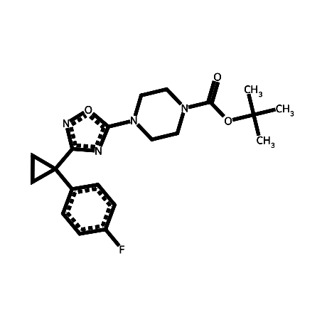 CC(C)(C)OC(=O)N1CCN(c2nc(C3(c4ccc(F)cc4)CC3)no2)CC1